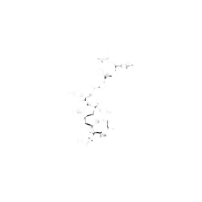 CCCC(CCC)OC(=O)OC[C@H]1O[C@@](C#N)(c2ccc3c(N)ncnn23)[C@H](O)[C@@H]1O